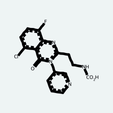 O=C(O)NCCc1nc2c(F)ccc(Cl)c2c(=O)n1-c1cccnc1